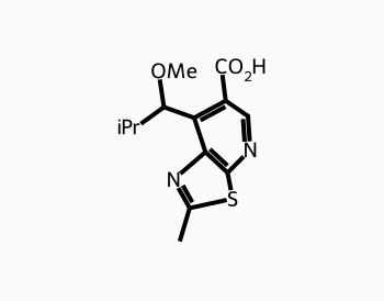 COC(c1c(C(=O)O)cnc2sc(C)nc12)C(C)C